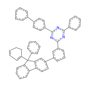 C1=CCCC(C2(c3ccccc3)c3ccccc3-c3ccc(-c4cccc(-c5nc(-c6ccccc6)nc(-c6ccc(-c7ccccc7)cc6)n5)c4)cc32)=C1